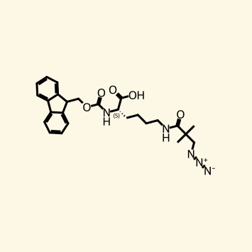 CC(C)(CN=[N+]=[N-])C(=O)NCCCC[C@H](NC(=O)OCC1c2ccccc2-c2ccccc21)C(=O)O